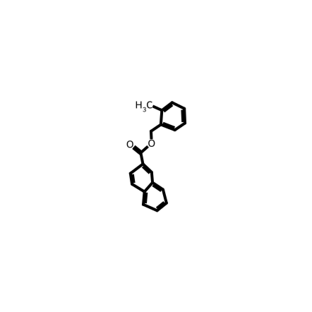 Cc1ccccc1COC(=O)c1ccc2ccccc2c1